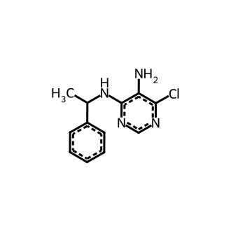 CC(Nc1ncnc(Cl)c1N)c1ccccc1